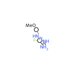 COc1ccc(CNc2nc3[nH]nc(N)c3cc2F)cc1